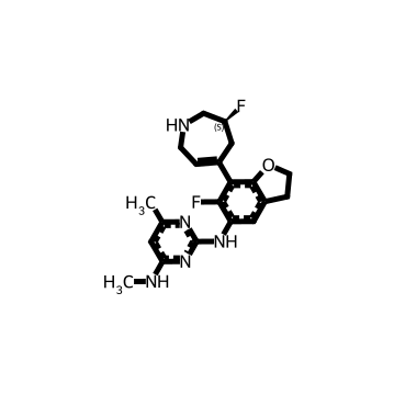 CNc1cc(C)nc(Nc2cc3c(c(C4=CCNC[C@@H](F)C4)c2F)OCC3)n1